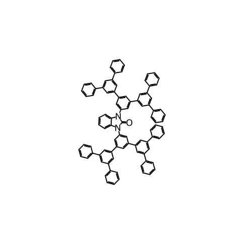 O=c1n(-c2cc(-c3cc(-c4ccccc4)cc(-c4ccccc4)c3)cc(-c3cc(-c4ccccc4)cc(-c4ccccc4)c3)c2)c2ccccc2n1-c1cc(-c2cc(-c3ccccc3)cc(-c3ccccc3)c2)cc(-c2cc(-c3ccccc3)cc(-c3ccccc3)c2)c1